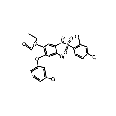 CCN(C=O)c1cc(NS(=O)(=O)c2ccc(Cl)cc2Cl)c(Br)cc1Oc1cncc(Cl)c1